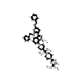 Cn1nc(-c2ccc(OCc3ccccc3)nc2OCc2ccccc2)c2cccc(N3CCC(C(C)(C)N4CCN(C(=O)OC(C)(C)C)CC4)CC3)c21